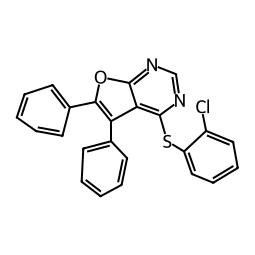 Clc1ccccc1Sc1ncnc2oc(-c3ccccc3)c(-c3ccccc3)c12